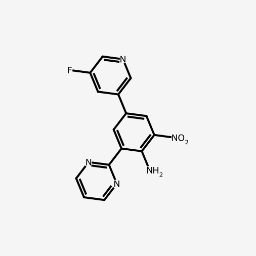 Nc1c(-c2ncccn2)cc(-c2cncc(F)c2)cc1[N+](=O)[O-]